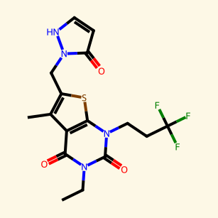 CCn1c(=O)c2c(C)c(Cn3[nH]ccc3=O)sc2n(CCC(F)(F)F)c1=O